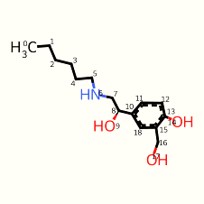 CCCCCCNC[C@H](O)c1ccc(O)c(CO)c1